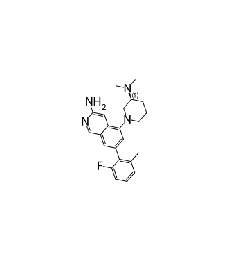 Cc1cccc(F)c1-c1cc(N2CCC[C@H](N(C)C)C2)c2cc(N)ncc2c1